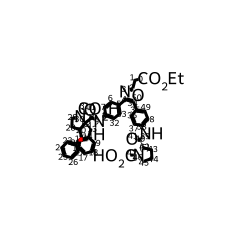 CCOC(=O)Cc1nc(-c2ccc(NC(=O)[C@]3(Cc4ccccc4)C(Cc4ccccc4)CCN3C(=O)O)cc2)c(-c2ccc(NC(=O)[C@@H]3CCCN3C(=O)O)cc2)o1